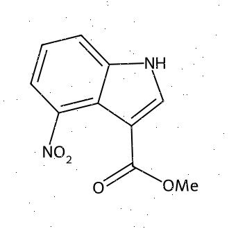 COC(=O)c1c[nH]c2cccc([N+](=O)[O-])c12